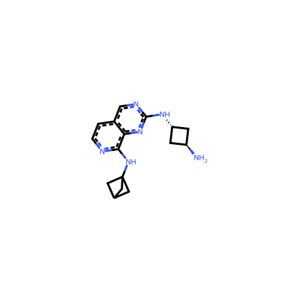 N[C@H]1C[C@H](Nc2ncc3ccnc(NC45CC(C4)C5)c3n2)C1